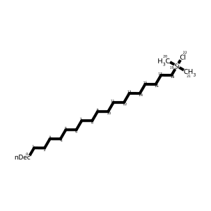 CCCCCCCCCCCCCCCCCCCCCCCCCCCC[Si](C)(C)Cl